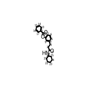 O=C(CCc1ccc2c(c1)OC(c1ccccc1)O2)NC1CCCCC1